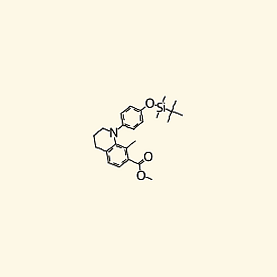 COC(=O)c1ccc2c(c1C)N(c1ccc(O[Si](C)(C)C(C)(C)C)cc1)CCC2